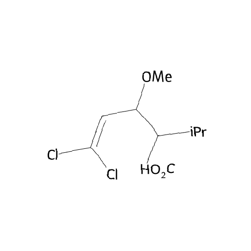 COC(C=C(Cl)Cl)C(C(=O)O)C(C)C